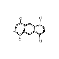 Clc1[c]cc(Cl)c2cc3c(Cl)[c]cc(Cl)c3cc12